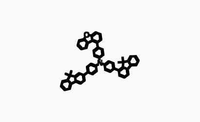 CC1(C)c2ccccc2-c2ccc(-c3ccc(N(c4ccc(-c5cccc6c5C(C)(C)c5ccccc5-6)cc4)c4ccc(-c5cccc6oc7ccccc7c56)cc4)cc3)cc21